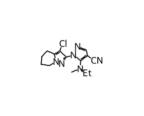 CCN(C)c1c(C#N)cnn1-c1nn2c(c1Cl)CCCC2